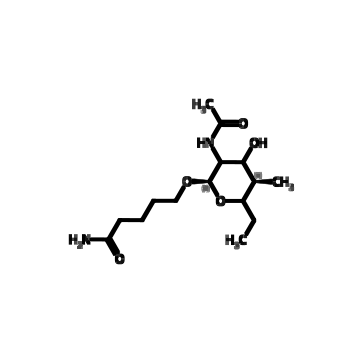 CCC1O[C@@H](OCCCCC(N)=O)C(NC(C)=O)C(O)[C@H]1C